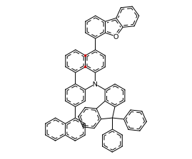 c1ccc(-c2ccc(-c3cccc4ccccc34)cc2N(c2ccc(-c3cccc4c3oc3ccccc34)cc2)c2cccc3c2-c2ccccc2C3(c2ccccc2)c2ccccc2)cc1